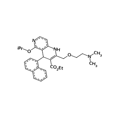 CCOC(=O)C1=C(COCCN(C)C)Nc2ccnc(OC(C)C)c2C1c1cccc2ccccc12